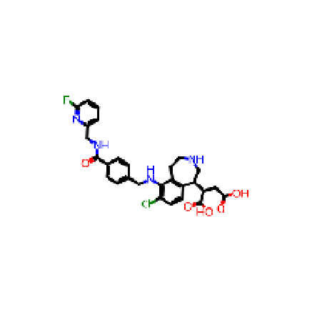 O=C(O)CC(C(=O)O)C1CNCCc2c1ccc(Cl)c2NCc1ccc(C(=O)NCc2cccc(F)n2)cc1